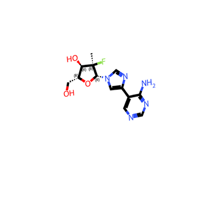 C[C@@]1(F)[C@H](O)[C@@H](CO)O[C@H]1n1cnc(-c2cncnc2N)c1